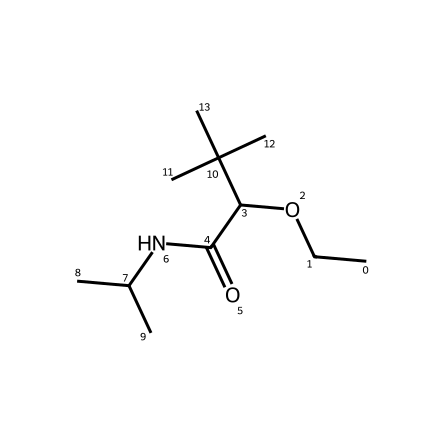 CCOC(C(=O)NC(C)C)C(C)(C)C